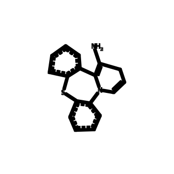 NC1=C2c3ccccc3Sc3ccccc3N2C=CC1